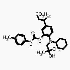 CCC(CC(=O)O)c1ccc(N(CC(C)(C)O)C2CCCCC2)c(NC(=O)Nc2ccc(C)cc2)c1